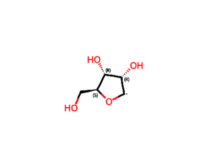 OC[C@@H]1O[CH][C@@H](O)[C@H]1O